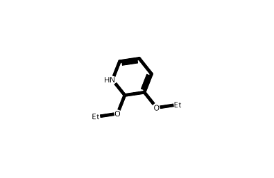 CCO[C]1NC=CC=C1OCC